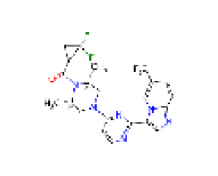 C[C@@H]1CN(c2ccnc(-c3cnc4ccc(C(F)(F)F)cn34)n2)C[C@H](C)N1C(=O)C1CC1(F)F